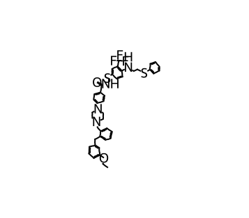 CCOc1cccc(Cc2ccccc2CN2CCN(c3ccc(C(=O)NSc4ccc(NCCSc5ccccc5)c(C(F)(F)F)c4)cc3)CC2)c1